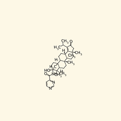 CC(C)C1=C2[C@H]3CC[C@@H]4[C@@]5(C)CC[C@@](O)(NC(=O)c6ccncn6)C(C)(C)[C@@H]5CC[C@@]4(C)[C@]3(C)CC[C@@]2(C)CC1=O